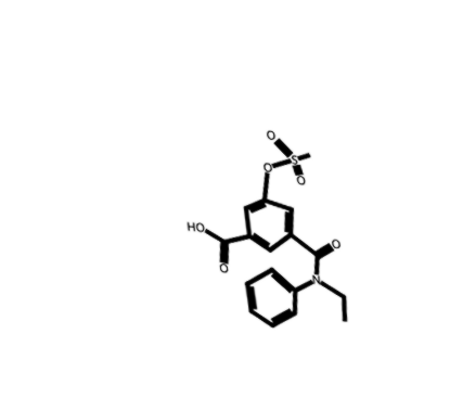 CCN(C(=O)c1cc(OS(C)(=O)=O)cc(C(=O)O)c1)c1ccccc1